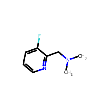 CN(C)Cc1ncccc1F